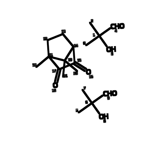 CC(C)(O)C=O.CC(C)(O)C=O.CC12CCC(C(=O)C1=O)C2(C)C